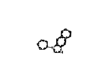 [c]1nc2cc3ccccc3cc2n1-c1ccccc1